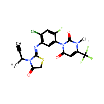 C#CC(C)N1C(=O)CSC1=Nc1cc(-n2c(=O)cc(C(F)(F)F)n(C)c2=O)c(F)cc1Cl